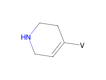 [V][C]1=CCNCC1